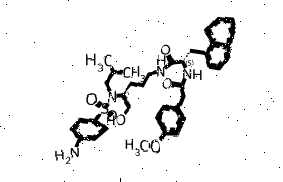 COc1ccc(CC(=O)N[C@@H](Cc2cccc3ccccc23)C(=O)NCCC[C@@H](CO)N(CC(C)C)S(=O)(=O)c2ccc(N)cc2)cc1